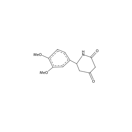 COc1ccc(C2CC(=O)CC(=O)N2)cc1OC